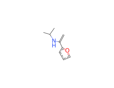 C=C(NC(C)C)c1ccco1